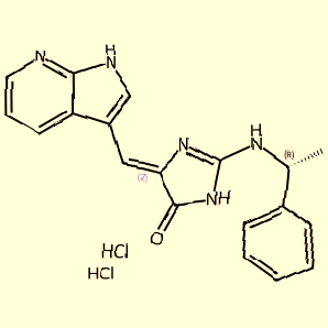 C[C@@H](NC1=N/C(=C\c2c[nH]c3ncccc23)C(=O)N1)c1ccccc1.Cl.Cl